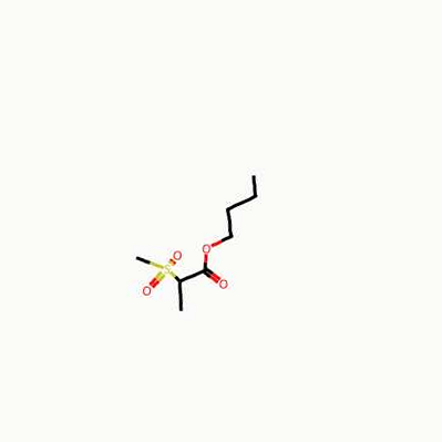 CCCCOC(=O)C(C)S(C)(=O)=O